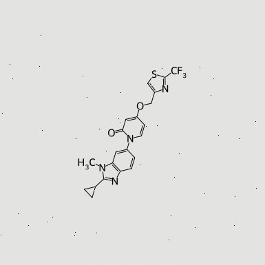 Cn1c(C2CC2)nc2ccc(-n3ccc(OCc4csc(C(F)(F)F)n4)cc3=O)cc21